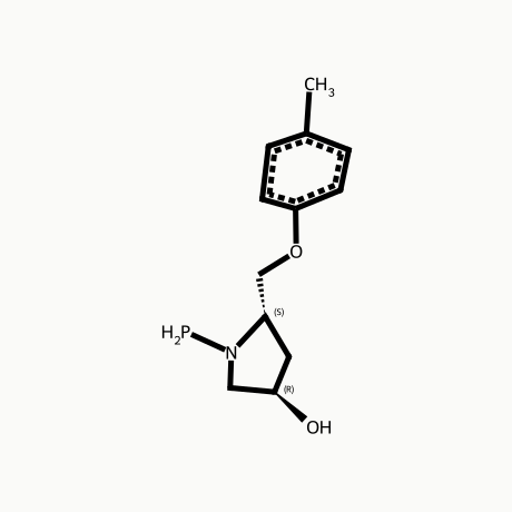 Cc1ccc(OC[C@@H]2C[C@@H](O)CN2P)cc1